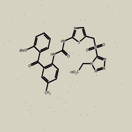 COc1ccccc1C(=O)c1cc(C)ccc1NC(=O)Nc1ncc(CS(=O)(=O)c2nnnn2CC(=O)O)s1